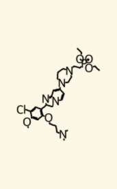 CCOP(=O)(CCN1CCCN(C2=CC3=NC(c4cc(Cl)c(OC)cc4OCCCN(C)C)CN3C=C2)CC1)OCC